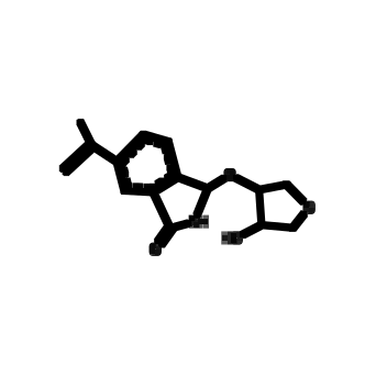 C=C(C)c1ccc2c(c1)C(=O)NC2OC1COCC1O